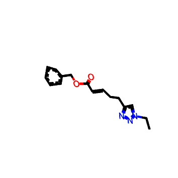 CCn1cc(CCC=CC(=O)OCc2ccccc2)nn1